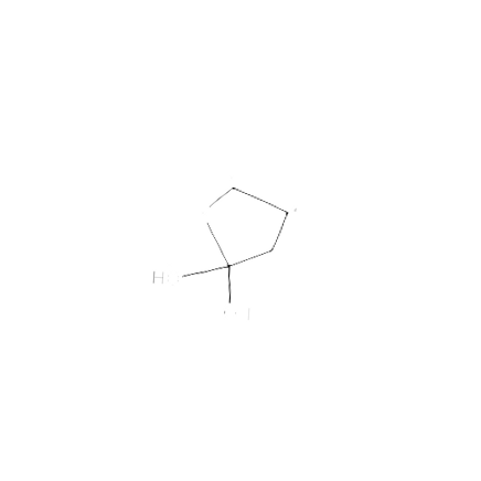 OC1(O)[CH]CCS1